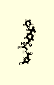 CC(C)C(CNC(=O)c1ccc(Cl)s1)NC(=O)c1ccc(C2(CN3CCCC3)CC2)cc1